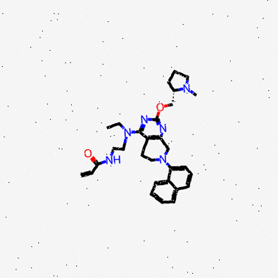 C=CC(=O)NCCN(CC)c1nc(OC[C@@H]2CCCN2C)nc2c1CCN(c1cccc3ccccc13)C2